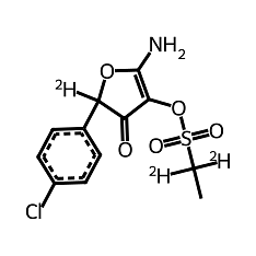 [2H]C1(c2ccc(Cl)cc2)OC(N)=C(OS(=O)(=O)C([2H])([2H])C)C1=O